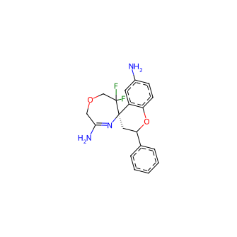 NC1=N[C@@]2(CC(c3ccccc3)Oc3ccc(N)cc32)C(F)(F)COC1